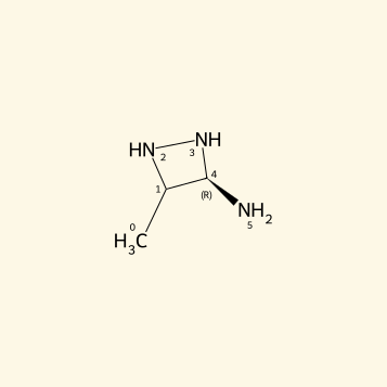 CC1NN[C@H]1N